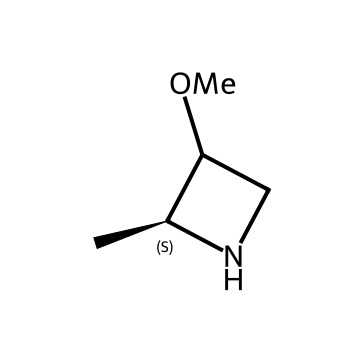 COC1CN[C@H]1C